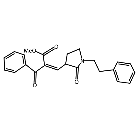 COC(=O)/C(=C\C1CCN(CCc2ccccc2)C1=O)C(=O)c1ccccc1